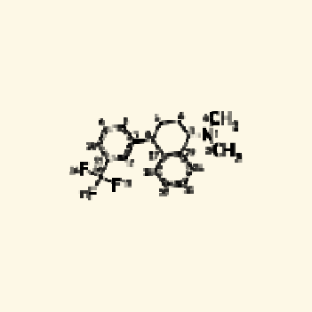 CN(C)[C@H]1CC[C@H](c2cccc(C(F)(F)F)c2)c2ccccc21